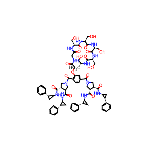 O=C(COc1cc(C(=O)N2C[C@@H](C(=O)N[C@H]3C[C@@H]3c3ccccc3)[C@H](C(=O)N[C@H]3C[C@@H]3c3ccccc3)C2)ccc1C(=O)N1C[C@@H](C(=O)N[C@H]2C[C@@H]2c2ccccc2)[C@H](C(=O)N[C@H]2C[C@@H]2c2ccccc2)C1)NCC(=O)N[C@@H](CO)C(=O)N[C@@H](CO)C(=O)N[C@@H](CO)C(=O)N[C@@H](CO)C(=O)N[C@@H](CO)C(=O)O